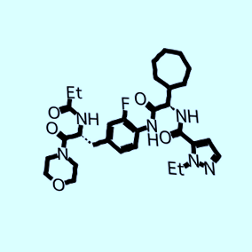 CCC(=O)N[C@H](Cc1ccc(NC(=O)[C@@H](NC(=O)c2ccnn2CC)C2CCCCCC2)c(F)c1)C(=O)N1CCOCC1